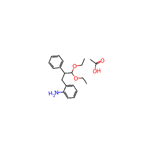 CC(=O)O.CCOC(OCC)C(Cc1ccccc1N)c1ccccc1